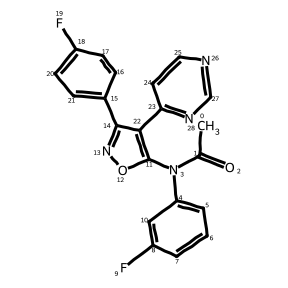 CC(=O)N(c1cccc(F)c1)c1onc(-c2ccc(F)cc2)c1-c1ccncn1